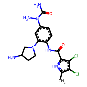 Cc1[nH]c(C(=O)Nc2ccc(N(N)C(N)=O)cc2N2CCC(N)C2)c(Cl)c1Cl